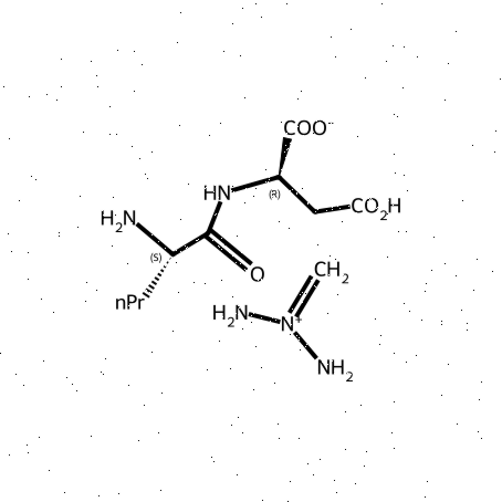 C=[N+](N)N.CCC[C@H](N)C(=O)N[C@H](CC(=O)O)C(=O)[O-]